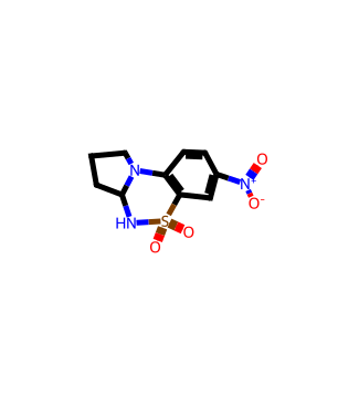 O=[N+]([O-])c1ccc2c(c1)S(=O)(=O)NC1CCCN21